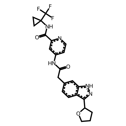 O=C(Cc1ccc2c(C3CCCO3)n[nH]c2c1)Nc1ccnc(C(=O)NC2(C(F)(F)F)CC2)c1